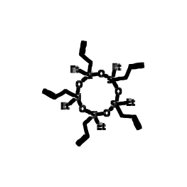 C=CC[Si]1(CC)O[Si](CC)(CC=C)O[Si](CC)(CC=C)O[Si](CC)(CC=C)O[Si](CC)(CC=C)O1